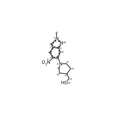 Cn1cc2cc([N+](=O)[O-])c(N3CCC(CO)CC3)cc2n1